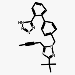 CC#CCc1nc(C(C)(C)C)nn1Cc1ccc(-c2ccccc2-c2nnn[nH]2)cc1